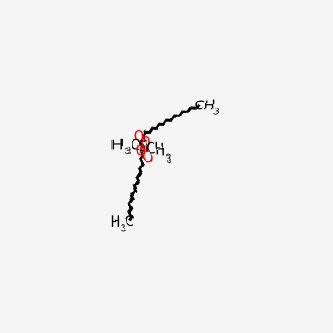 CCCCCCCCCCCCCCCC(=O)O[Si](CC)(CC)OC(=O)CCCCCCCCCCCCCCC